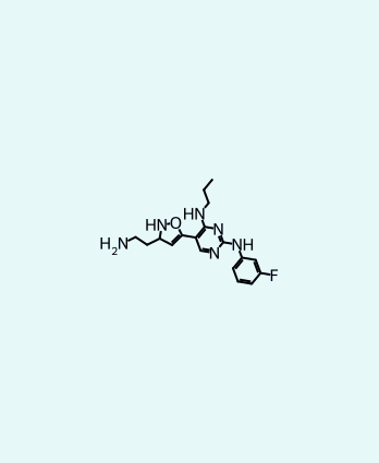 CCCNc1nc(Nc2cccc(F)c2)ncc1C1=CC(CCN)NO1